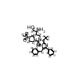 CC(C)(C)[C@H](c1nc(-c2ccccc2)c(Cc2ccccc2)[nH]1)N(CC[C@H](N)CO)C(=O)N1CCN(S(C)(=O)=O)CC1